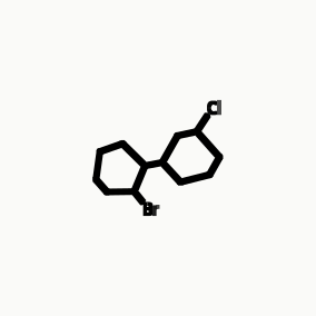 ClC1CCCC(C2CCCCC2Br)C1